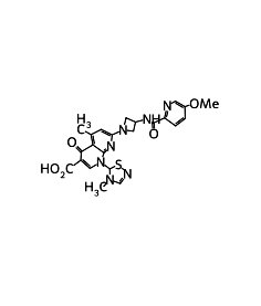 COc1ccc(C(=O)NC2CN(c3cc(C)c4c(=O)c(C(=O)O)cn(C5SN=CN5C)c4n3)C2)nc1